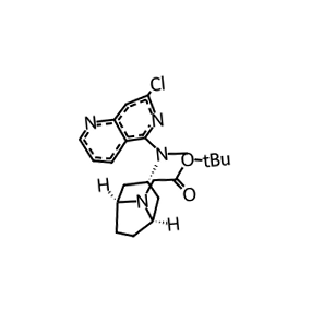 CN(c1nc(Cl)cc2ncccc12)[C@@H]1C[C@H]2CC[C@@H](C1)N2CC(=O)OC(C)(C)C